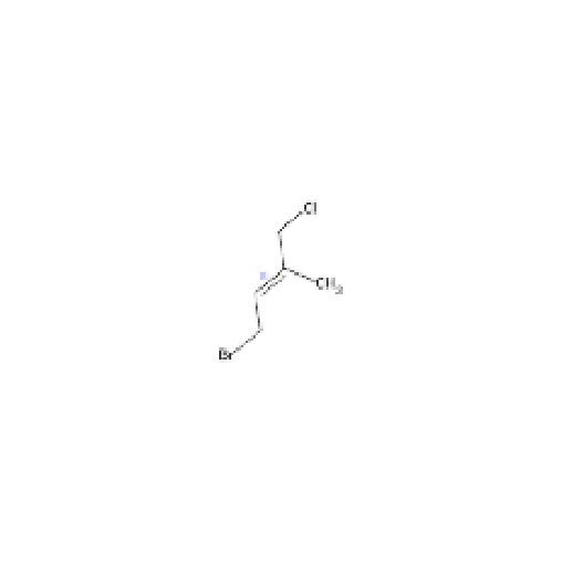 C/C(=C\CBr)CCl